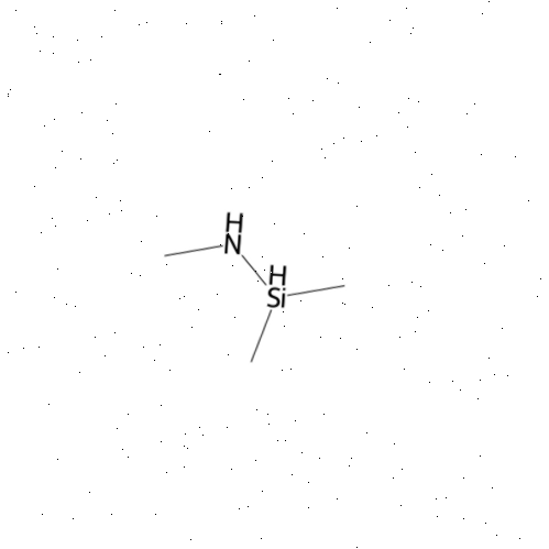 CN[SiH](C)C